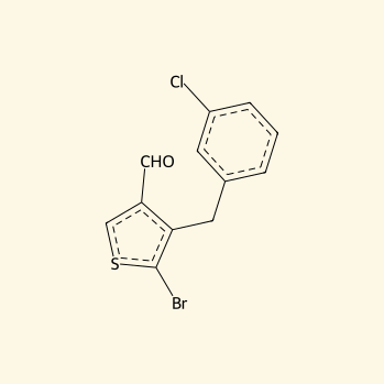 O=Cc1csc(Br)c1Cc1cccc(Cl)c1